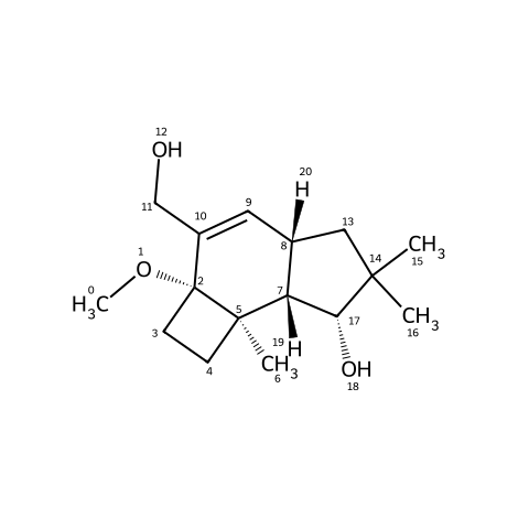 CO[C@@]12CC[C@]1(C)[C@@H]1[C@H](C=C2CO)CC(C)(C)[C@@H]1O